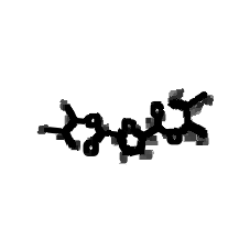 CC(C)C(C)OC(=O)c1ccc(C(=O)OC(C)C(C)C)o1